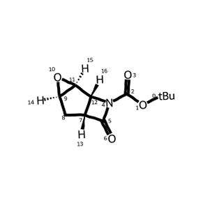 CC(C)(C)OC(=O)N1C(=O)[C@@H]2C[C@H]3O[C@H]3[C@@H]21